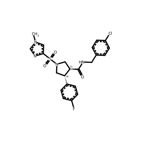 Cn1cnc(S(=O)(=O)N2C[C@@H](C(=O)NCc3ccc(Cl)cc3)[C@H](c3ccc(F)cc3)C2)c1